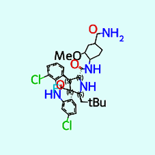 COC1CC(C(N)=O)CCC1NC(=O)[C@@H]1N[C@@H](CC(C)(C)C)[C@@]2(C(=O)Nc3cc(Cl)ccc32)[C@H]1c1cccc(Cl)c1F